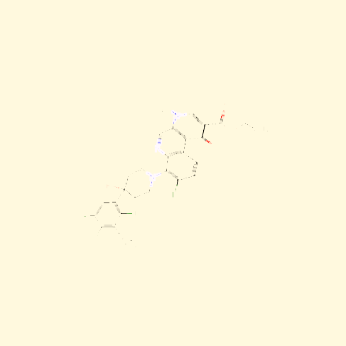 CCOC(=O)c1cn(C)c2cnc3c(N4CCC(O)(c5cc(F)c(F)c(C)c5F)CC4)c(F)ccc3c2c1=O